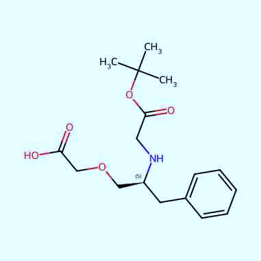 CC(C)(C)OC(=O)CN[C@H](COCC(=O)O)Cc1ccccc1